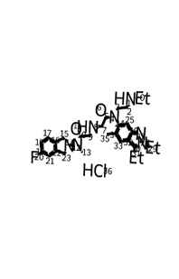 CCNCCN(C(=O)CNCC(=O)N(C)N1Cc2ccc(F)cc2C1)c1cc2nn(CC)c(CC)c2cc1C.Cl